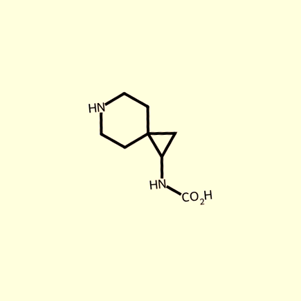 O=C(O)NC1CC12CCNCC2